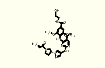 C=CC(=O)N1CC[C@@H](n2cc(Nc3ncc(C(N)=O)c(Nc4c(C)cc(C(=O)NCCO)cc4OC)n3)cn2)C1